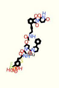 CC(C)(C)[C@H](NC(=O)c1cc2cc(C(F)(F)P(=O)(O)O)ccc2s1)C(=O)N1C[C@@H](OCC(=O)NCCC#Cc2cccc3c2C(=O)N(C2CCC(=O)NC2=O)C3=O)C[C@H]1C(=O)N1CCCC(c2ccccc2)C1